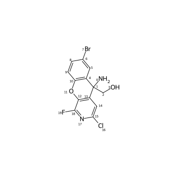 NC1(CO)c2cc(Br)ccc2Oc2c1cc(Cl)nc2F